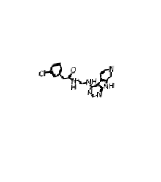 O=C(Cc1cccc(Cl)c1)NCCNc1ncnc2[nH]c3cnccc3c12